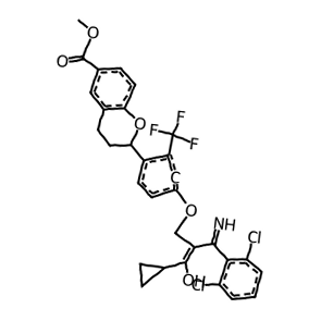 COC(=O)c1ccc2c(c1)CCC(c1ccc(OC/C(C(=N)c3c(Cl)cccc3Cl)=C(/O)C3CC3)cc1C(F)(F)F)O2